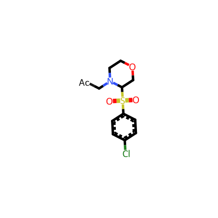 CC(=O)CN1CCOCC1S(=O)(=O)c1ccc(Cl)cc1